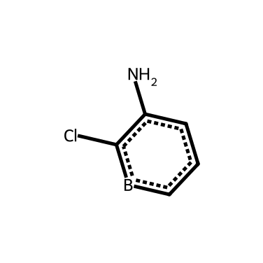 Nc1cccbc1Cl